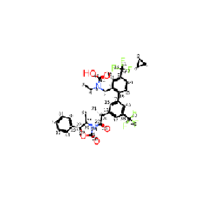 C1CC1.CCN(Cc1cc(C(F)(F)F)ccc1-c1cc([C@@H](C)C(=O)N2C(=O)O[C@@H](c3ccccc3)[C@H]2C)cc(C(F)(F)F)c1)C(=O)O